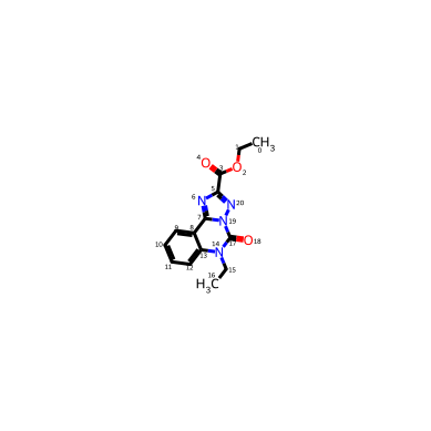 CCOC(=O)c1nc2c3ccccc3n(CC)c(=O)n2n1